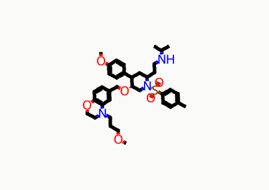 COCCCN1CCOc2ccc(CO[C@H]3CN(S(=O)(=O)c4ccc(C)cc4)C(CCNC(C)C)CC3c3ccc(OC)cc3)cc21